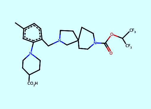 Cc1ccc(CN2CCC3(CCN(C(=O)OC(C(F)(F)F)C(F)(F)F)CC3)C2)c(N2CCC(C(=O)O)CC2)c1